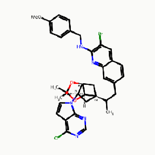 COc1ccc(CNc2nc3cc(CC(C)[C@]45C[C@@H](n6ccc7c(Cl)ncnc76)[C@@]6(C4)OC(C)(C)O[C@H]56)ccc3cc2Br)cc1